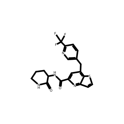 O=C(NC1CCCNC1=O)c1cc(Cc2ccc(C(F)(F)F)nc2)c2sccc2n1